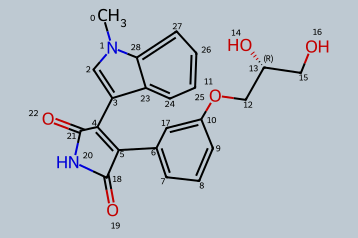 Cn1cc(C2=C(c3cccc(OC[C@H](O)CO)c3)C(=O)NC2=O)c2ccccc21